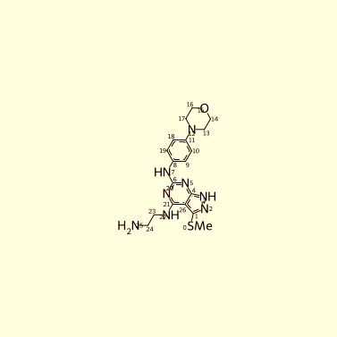 CSc1n[nH]c2nc(Nc3ccc(N4CCOCC4)cc3)nc(NCCN)c12